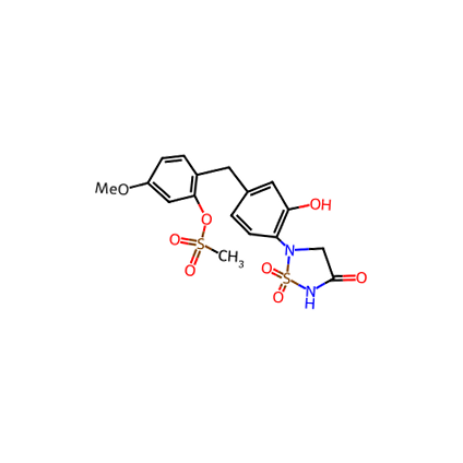 COc1ccc(Cc2ccc(N3CC(=O)NS3(=O)=O)c(O)c2)c(OS(C)(=O)=O)c1